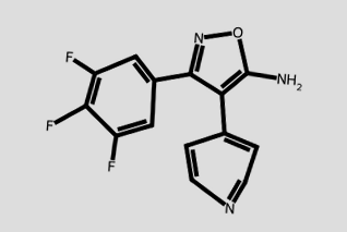 Nc1onc(-c2cc(F)c(F)c(F)c2)c1-c1ccncc1